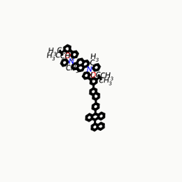 Cc1ccccc1N(c1ccc2ccc3c(N(c4ccccc4C)c4cccc5c4oc4c(C(C)(C)C)cc(-c6ccc7cc(-c8ccc(-c9c%10ccccc%10c(-c%10cccc%11ccccc%10%11)c%10ccccc9%10)cc8)ccc7c6)cc45)ccc4ccc1c2c43)c1cccc2c1oc1c(C(C)(C)C)cccc12